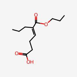 CCCOC(=O)C(=CCCC(=O)O)CCC